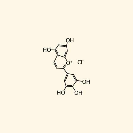 Oc1cc(O)c2ccc(-c3cc(O)c(O)c(O)c3)[o+]c2c1.[Cl-]